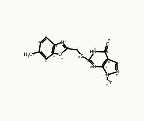 Cc1ccc2nc(CSc3nc4c(cnn4C(C)C)c(=O)[nH]3)oc2c1